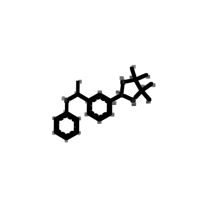 CC(Oc1ccccc1)c1cccc(B2OC(C)(C)C(C)(C)O2)c1